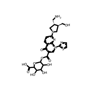 NC[C@H]1CN(c2ccc3c(=O)c(C(=O)OC4OC(C(=O)O)C(O)C(O)C4O)cn(-c4nccs4)c3n2)C[C@@H]1CO